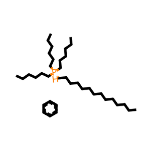 CCCCCCCCCCCCCC[PH](CCCCCC)(CCCCCC)CCCCCC.c1ccccc1